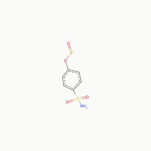 NS(=O)(=O)c1ccc(OP=O)cc1